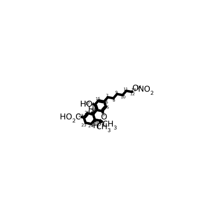 CC1(C)Oc2cc(CCCCCCO[N+](=O)[O-])cc(O)c2[C@H]2C=C(C(=O)O)CC[C@@H]21